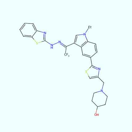 CCn1cc(/C(=N/Nc2nc3ccccc3s2)C(F)(F)F)c2cc(-c3nc(CN4CCC(O)CC4)cs3)ccc21